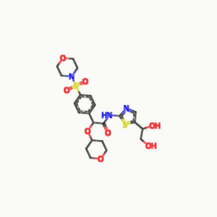 O=C(Nc1ncc(C(O)CO)s1)C(OC1CCOCC1)c1ccc(S(=O)(=O)N2CCOCC2)cc1